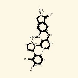 COc1cc2c(cc1Nc1cc(N3OCC[C@@H]3c3cccc(F)c3F)ncn1)C(=O)N(C)C2